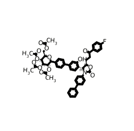 CC(=O)OC[C@H]1OC(c2ccc(-c3ccc([C@@H]4[C@@H](CCC(=O)c5ccc(F)cc5)OC(=O)N4c4ccc(-c5ccccc5)cc4)c(O)c3)cc2)[C@H](OC(C)=O)[C@@H](OC(C)=O)[C@@H]1OC(C)=O